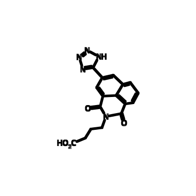 O=C(O)CCCN1C(=O)c2cccc3cc(-c4nnn[nH]4)cc(c23)C1=O